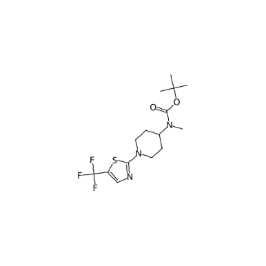 CN(C(=O)OC(C)(C)C)C1CCN(c2ncc(C(F)(F)F)s2)CC1